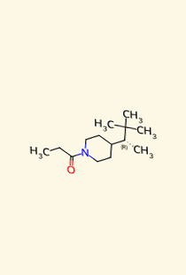 CCC(=O)N1CCC([C@@H](C)C(C)(C)C)CC1